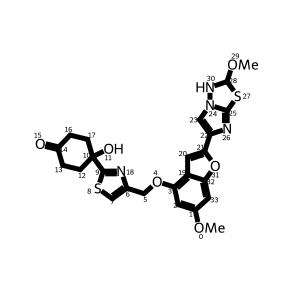 COc1cc(OCc2csc(C3(O)CCC(=O)CC3)n2)c2cc(-c3cn4c(n3)SC(OC)N4)oc2c1